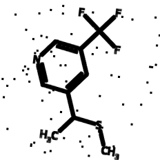 CSC(C)c1cncc(C(F)(F)F)c1